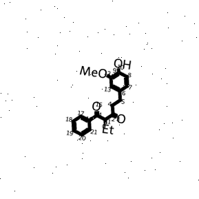 CCC(C(=O)CCc1ccc(O)c(OC)c1)C(=O)c1ccccc1